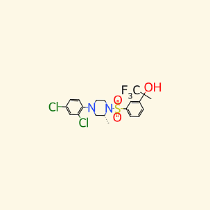 C[C@@H]1CN(c2ccc(Cl)cc2Cl)CCN1S(=O)(=O)c1cccc(C(C)(O)C(F)(F)F)c1